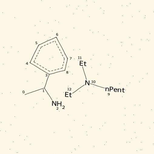 CC(N)c1ccccc1.CCCCCN(CC)CC